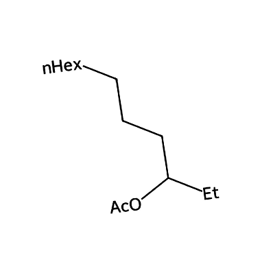 CCCCCCCCCC(CC)OC(C)=O